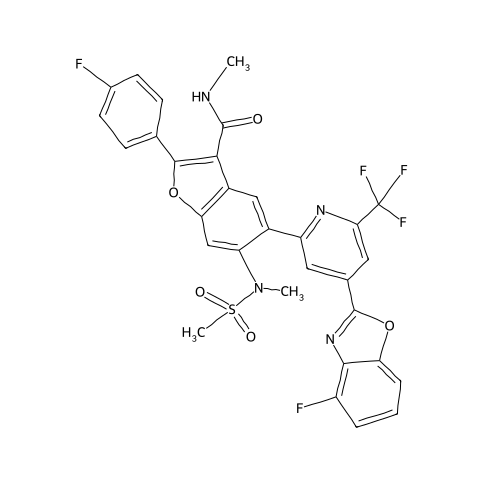 CNC(=O)c1c(-c2ccc(F)cc2)oc2cc(N(C)S(C)(=O)=O)c(-c3cc(-c4nc5c(F)cccc5o4)cc(C(F)(F)F)n3)cc12